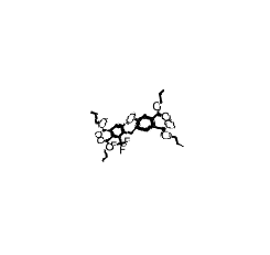 CCCOC(=O)c1cc2c(cc1C(=O)OCCC)Oc1cc(C(=O)OCCC)c(C(=O)OCCC)c(C(F)(F)F)c1C2